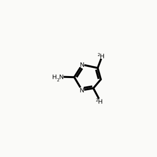 [2H]c1cc([2H])nc(N)n1